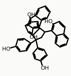 Oc1ccc(C(CC(c2c(O)ccc3ccccc23)c2c(O)ccc3ccccc23)(c2ccc(O)cc2)c2ccc(O)cc2)cc1